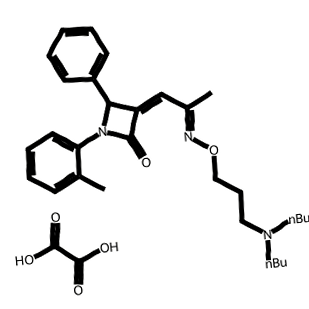 CCCCN(CCCC)CCCON=C(C)C=C1C(=O)N(c2ccccc2C)C1c1ccccc1.O=C(O)C(=O)O